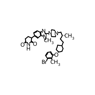 Cc1c(Br)cccc1OC1CCC(CC[C@@H](C)CN2CCN(c3nc4ccc(C5CCC(=O)NC5=O)cc4n3C)CC2)CC1